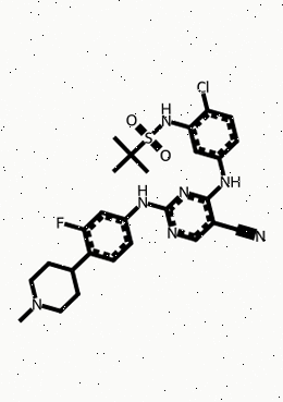 CN1CCC(c2ccc(Nc3ncc(C#N)c(Nc4ccc(Cl)c(NS(=O)(=O)C(C)(C)C)c4)n3)cc2F)CC1